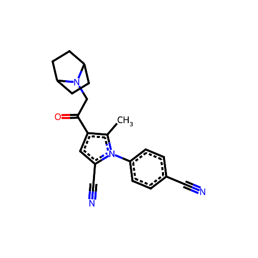 Cc1c(C(=O)CN2C3CCC2CC3)cc(C#N)n1-c1ccc(C#N)cc1